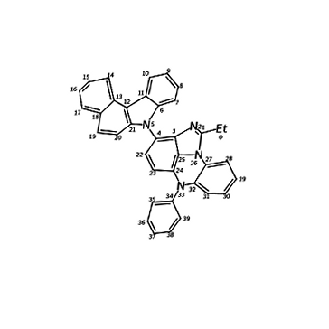 CCc1nc2c(-n3c4ccccc4c4c5ccccc5ccc43)ccc3c2n1-c1ccccc1N3c1ccccc1